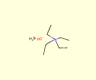 CC[N+](CC)(CC)CC.[OH-].[SiH4]